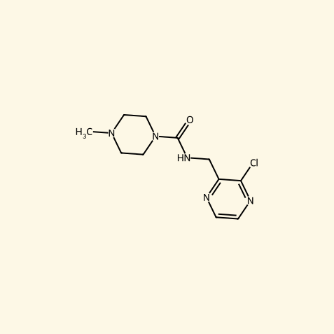 CN1CCN(C(=O)NCc2nccnc2Cl)CC1